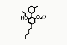 C=C(C)[C@@H]1CCC(C)=C[C@H]1c1c(O)cc(CCCCC)cc1OC=O